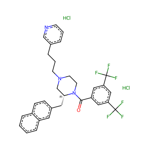 Cl.Cl.O=C(c1cc(C(F)(F)F)cc(C(F)(F)F)c1)N1CCN(CCCc2cccnc2)C[C@H]1Cc1ccc2ccccc2c1